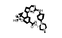 CN1CCN(c2ccc(Nc3ncc4ccc(-c5cc(C(N)=O)ccc5C5(S(=O)(=O)O)CC5)n4n3)cc2)CC1